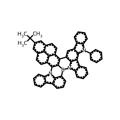 CC(C)(C)c1cc2ccc3c4c5c(c6ccc(c1)c2c36)-n1c2ccccc2c2cccc(c21)B5n1c2ccccc2c2c1c-4cc1c3ccccc3n(-c3ccccc3)c12